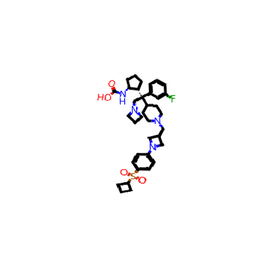 O=C(O)N[C@H]1CCC[C@@H]1C(CN1CCC1)(c1cccc(F)c1)C1CCN(CC2CN(c3ccc(S(=O)(=O)C4CCC4)cc3)C2)CC1